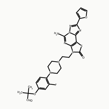 CC(C)(C=O)Oc1ccc(N2CCN(CCn3c(=O)sc4c3nc(N)n3nc(-c5ccco5)nc43)CC2)c(F)c1